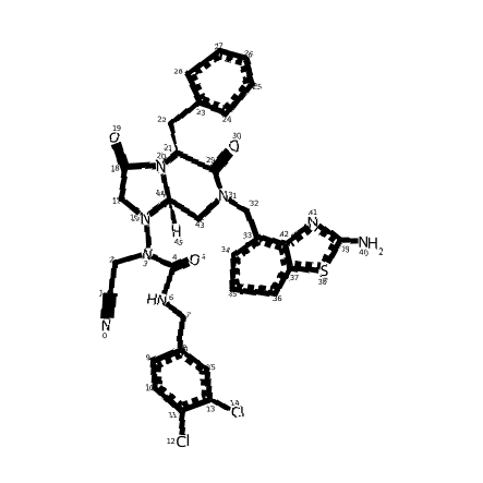 N#CCN(C(=O)NCc1ccc(Cl)c(Cl)c1)N1CC(=O)N2[C@@H](Cc3ccccc3)C(=O)N(Cc3cccc4sc(N)nc34)C[C@@H]21